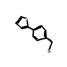 BrCc1ccc(-c2cccs2)cc1